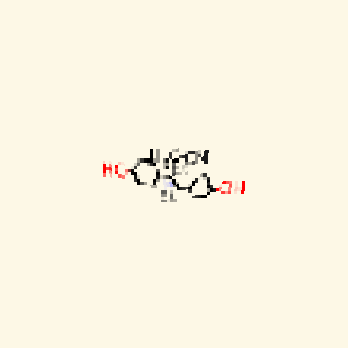 CC#N.CC/C(=C(/CC)c1ccc(O)cc1)c1ccc(O)cc1